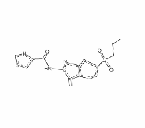 CCCS(=O)(=O)c1ccc2[nH]c(NC(=O)c3cscn3)nc2c1